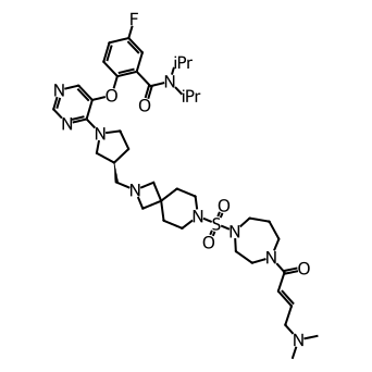 CC(C)N(C(=O)c1cc(F)ccc1Oc1cncnc1N1CC[C@@H](CN2CC3(CCN(S(=O)(=O)N4CCCN(C(=O)/C=C/CN(C)C)CC4)CC3)C2)C1)C(C)C